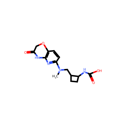 CN(CC1CCC1NC(=O)O)c1ccc2c(n1)NC(=O)CO2